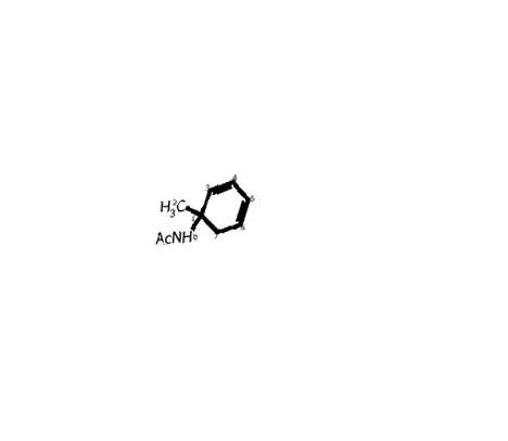 CC(=O)NC1(C)C=CC=CC1